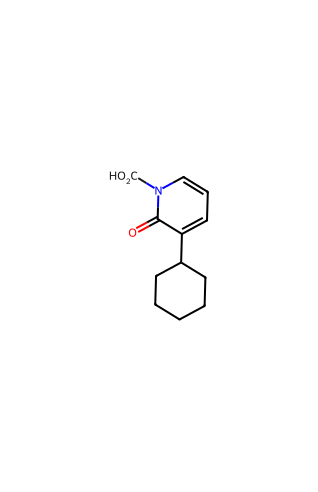 O=C(O)n1cccc(C2CCCCC2)c1=O